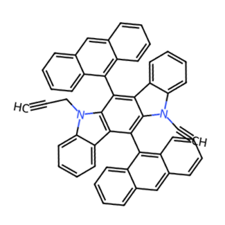 C#CCn1c2ccccc2c2c(-c3c4ccccc4cc4ccccc34)c3c(c(-c4c5ccccc5cc5ccccc45)c21)c1ccccc1n3C#C